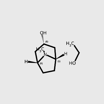 CCO.CN1[C@@H]2CC[C@H]1C[C@@H](O)C2